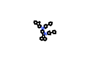 CC1(C)c2ccccc2-c2ccc(N(c3ccc(-c4ccccc4)cc3)c3ccc4c5c(n(-c6ccc(-c7ccccc7)cc6)c4c3)-c3cccc4cccc-5c34)cc21